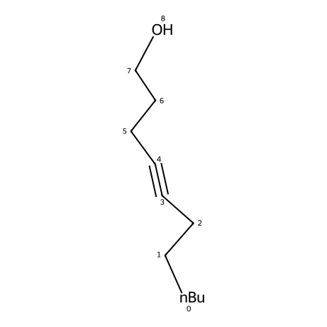 CCCCCCC#CCCCO